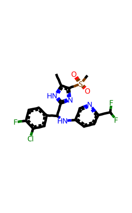 Cc1[nH]c(C(Nc2ccc(C(F)F)nc2)c2ccc(F)c(Cl)c2)nc1S(C)(=O)=O